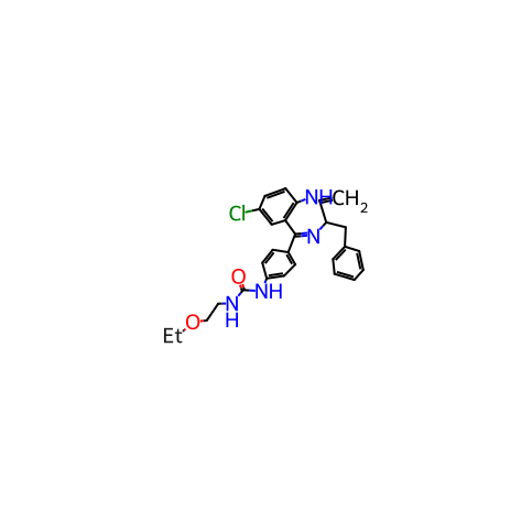 C=C1Nc2ccc(Cl)cc2C(c2ccc(NC(=O)NCCOCC)cc2)=NC1Cc1ccccc1